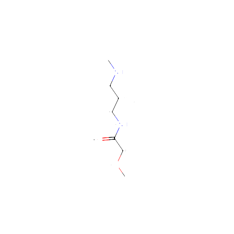 CNC[C@H](O)CNC(=O)COC